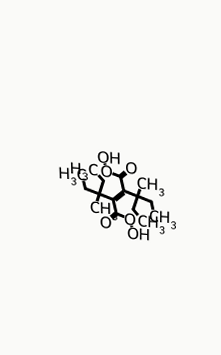 CCC(C)(CC)/C(C(=O)OO)=C(\C(=O)OO)C(C)(CC)CC